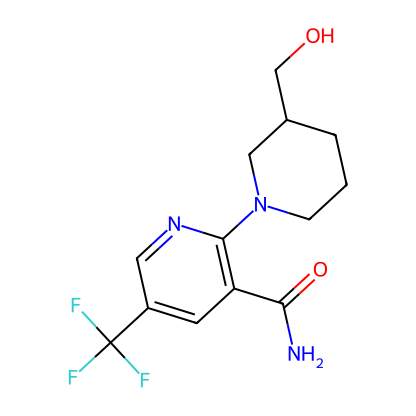 NC(=O)c1cc(C(F)(F)F)cnc1N1CCCC(CO)C1